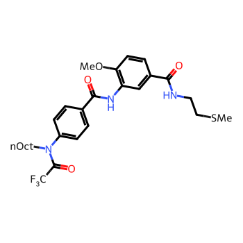 CCCCCCCCN(C(=O)C(F)(F)F)c1ccc(C(=O)Nc2cc(C(=O)NCCSC)ccc2OC)cc1